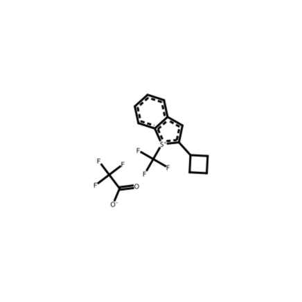 FC(F)(F)[s+]1c(C2CCC2)cc2ccccc21.O=C([O-])C(F)(F)F